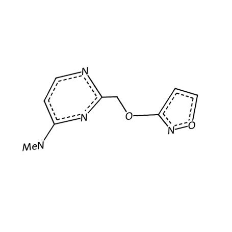 CNc1ccnc(COc2ccon2)n1